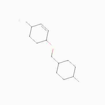 CC1C=CC(OCC2CCC(C)CC2)CC1